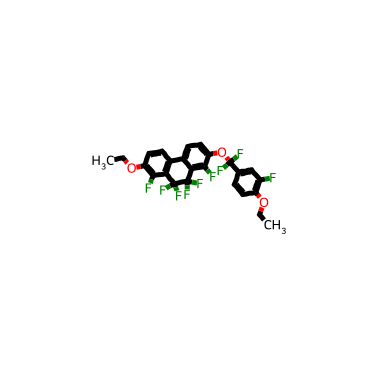 CCOc1ccc(C(F)(F)Oc2ccc3c(c2F)C(F)(F)C(F)(F)c2c-3ccc(OCC)c2F)cc1F